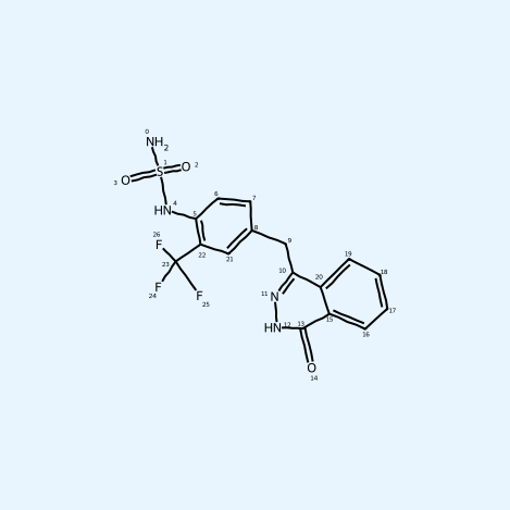 NS(=O)(=O)Nc1ccc(Cc2n[nH]c(=O)c3ccccc23)cc1C(F)(F)F